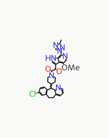 COc1cnc(-n2cnc(C)n2)c2[nH]cc(C(=O)C(=O)N3CCC(=C4c5ccc(Cl)cc5CCc5cccnc54)CC3)c12